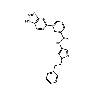 O=C(Nc1cnn(CCc2ccccc2)c1)c1cccc(-c2ccc3[nH]nnc3n2)c1